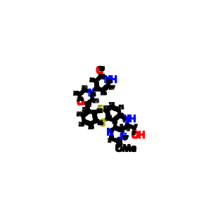 COc1cncc(C(CO)Nc2ccc3c(c2)Sc2cccc(C4CN(c5cc[nH]c(=O)c5)CCO4)c2S3)n1